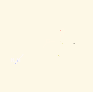 CS(=O)(=S)OCCN